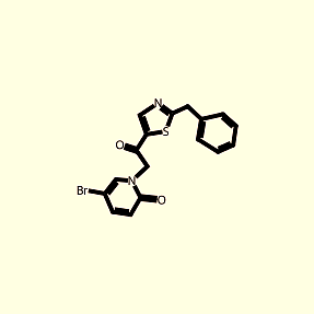 O=C(Cn1cc(Br)ccc1=O)c1cnc(Cc2ccccc2)s1